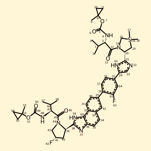 CC(C)[C@H](NC(=O)OC1(C)CC1)C(=O)N1C[Si](C)(C)C[C@@H]1c1ncc(-c2ccc(-c3ccc4c(ccc5nc([C@H]6C[C@H](F)CN6C(=O)[C@@H](NC(=O)OC6(C)CC6)C(C)C)[nH]c54)c3)c(F)c2)[nH]1